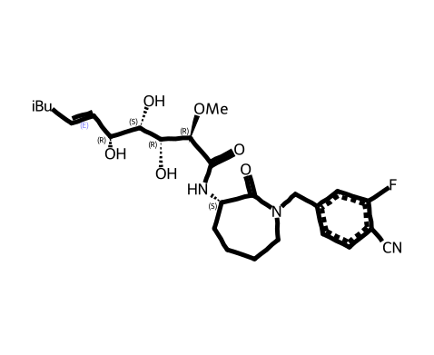 CCC(C)/C=C/[C@@H](O)[C@H](O)[C@@H](O)[C@@H](OC)C(=O)N[C@H]1CCCCN(Cc2ccc(C#N)c(F)c2)C1=O